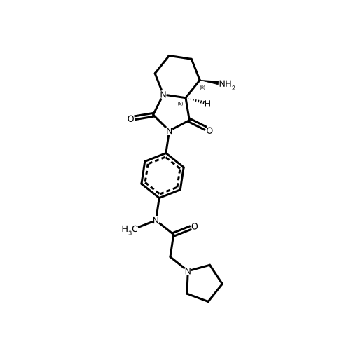 CN(C(=O)CN1CCCC1)c1ccc(N2C(=O)[C@@H]3[C@H](N)CCCN3C2=O)cc1